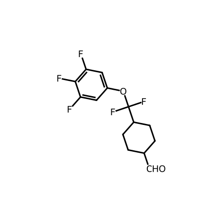 O=CC1CCC(C(F)(F)Oc2cc(F)c(F)c(F)c2)CC1